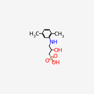 Cc1ccc(C)c(NCC(O)CS(=O)(=O)O)c1